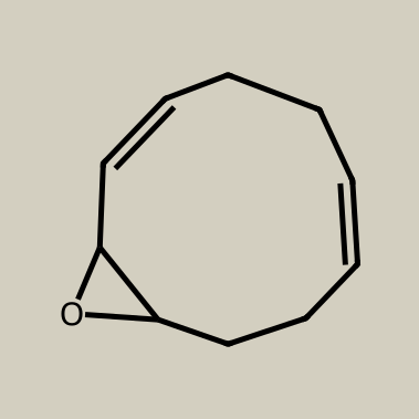 C1=C\CCC2OC2/C=C\CC/1